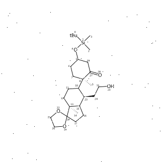 CC(C)(C)[Si](C)(C)OC1CC[C@](C)(C2CC[C@@]3(C)C(CCC34OCCO4)[C@@H]2CCO)C(=O)C1